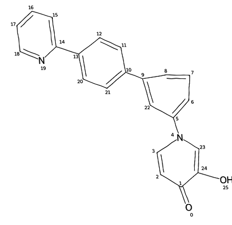 O=c1ccn(-c2cccc(-c3ccc(-c4ccccn4)cc3)c2)cc1O